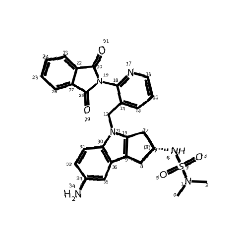 CN(C)S(=O)(=O)N[C@@H]1Cc2c(n(Cc3cccnc3N3C(=O)c4ccccc4C3=O)c3ccc(N)cc23)C1